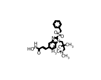 CN(C)CC(C)(C)Cn1c(S(=O)(=O)Cc2ccccc2)nc2cc(C=CC(=O)NO)ccc21